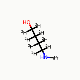 [2H]C([2H])(O)C([2H])([2H])C([2H])([2H])C([2H])([2H])NC(C)C